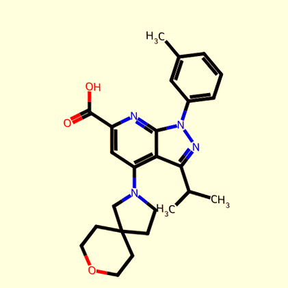 Cc1cccc(-n2nc(C(C)C)c3c(N4CCC5(CCOCC5)C4)cc(C(=O)O)nc32)c1